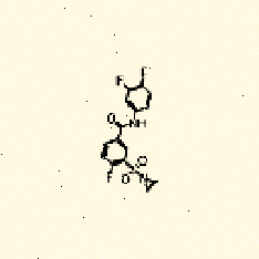 O=C(Nc1ccc(F)c(F)c1)c1ccc(F)c(S(=O)(=O)N2CC2)c1